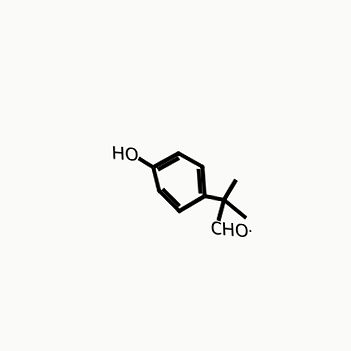 CC(C)([C]=O)c1ccc(O)cc1